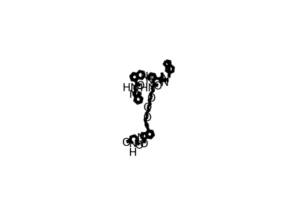 Cc1c(-c2ccc(N3CCc4cccc(C(=O)Nc5nc6ccccc6s5)c4C3)nc2C(=O)NCCOCCOCCOCC#Cc2cccc3c2CN(C2CCC(=O)NC2=O)C3=O)cnn1CC12CCC3CC(CC3C1)C2